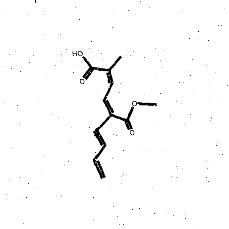 C=CC=CC(=CC=C(C)C(=O)O)C(=O)OC